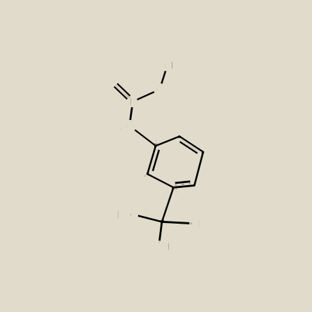 CO[P](=O)Oc1cccc(C(C)(C)C)c1